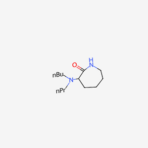 CCCCN(CCC)C1CCCCNC1=O